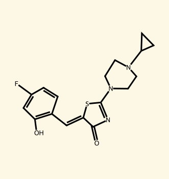 O=C1N=C(N2CCN(C3CC3)CC2)SC1=Cc1ccc(F)cc1O